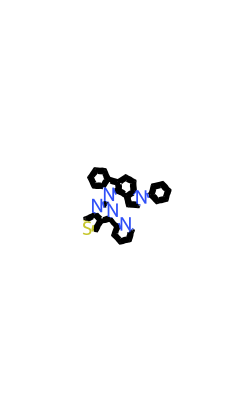 c1ccc(-n2ccc3c2ccc2c4ccccc4n(-c4nc(-c5ccccn5)c5cscc5n4)c23)cc1